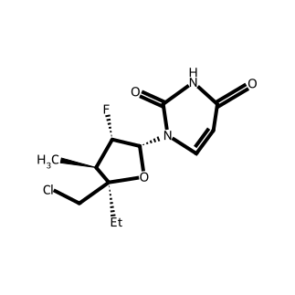 CC[C@@]1(CCl)O[C@@H](n2ccc(=O)[nH]c2=O)[C@@H](F)[C@@H]1C